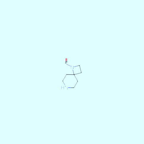 O=CN1CCC12CCNCC2